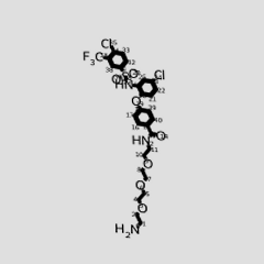 NCCOCCOCCOCCNC(=O)c1ccc(Oc2ccc(Cl)cc2NS(=O)(=O)c2ccc(Cl)c(C(F)(F)F)c2)cc1